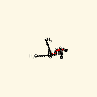 CCCCCCCCCCCCCCNC(=O)[C@@H]1CN(C(=O)c2ccc(C(=O)N3C[C@@H](C(=O)N[C@H]4C[C@@H]4c4ccccc4)[C@H](C(=O)N[C@H]4C[C@@H]4c4ccccc4)C3)cc2)C[C@H]1C(=O)NCCCCCCCCCCCCCC